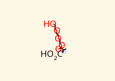 C/C(=C/C(=O)O)C(=O)OCCOCCOCCO